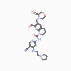 N#Cc1cnc(NC(=O)N2CCCc3cc(CN4CCOCC4=C=O)c(C=O)nc32)cc1NCCN1CCCC1